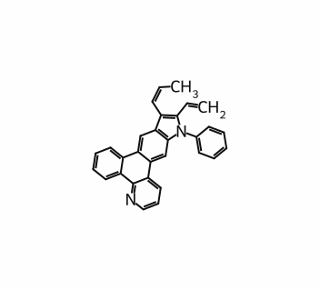 C=Cc1c(/C=C\C)c2cc3c4ccccc4c4ncccc4c3cc2n1-c1ccccc1